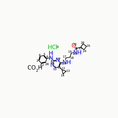 Cl.O=C(O)c1cccc(Nc2ncc(C3CC3)c(NCCCNC(=O)C3CCC3)n2)c1